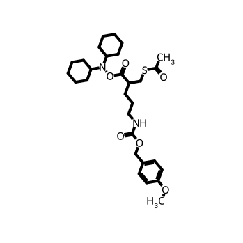 COc1ccc(COC(=O)NCCCC(CSC(C)=O)C(=O)ON(C2CCCCC2)C2CCCCC2)cc1